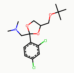 CN(C)CC1(c2ccc(Cl)cc2Cl)OCC(COC(C)(C)C)O1